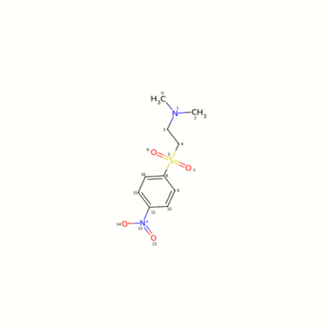 CN(C)CCS(=O)(=O)c1ccc([N+](=O)[O-])cc1